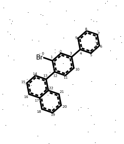 Brc1cc(-c2ccccc2)ccc1-c1cccc2ccccc12